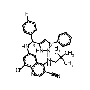 CC(C)(C)CNc1c(C#N)cnc2c(Cl)cc(N[C@H](C3=CN(c4ccccc4)NN3)c3ccc(F)cc3)cc12